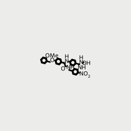 COc1cc([C@H](Nc2ccc(C(=N)NO)cc2)C(=O)NCc2ccc([N+](=O)[O-])cc2)ccc1OCc1ccccc1